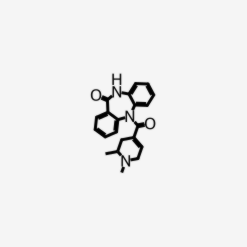 CC1CC(C(=O)N2c3ccccc3NC(=O)c3ccccc32)=CCN1C